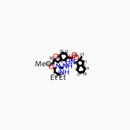 CCC1(CC)CC(=O)N([C@H]2c3cc(C(=O)NC4c5ccccc5CC4(C)O)ccc3O[C@]2(C)COC)C(=N)N1